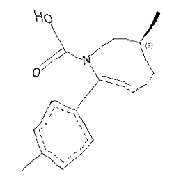 Cc1ccc(C2=CC[C@H](C)CN2C(=O)O)cc1